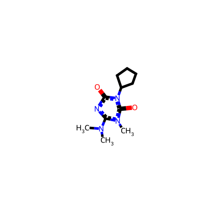 CN(C)c1nc(=O)n(C2CCCC2)c(=O)n1C